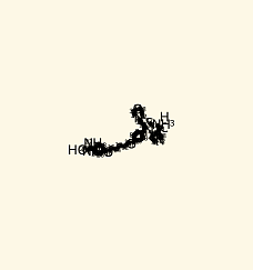 CC(Nc1nc(-c2ccc(OCCCCCOc3ccc(C(=N)NO)cc3)cc2)c(CN2CCOCC2)s1)c1cccnc1